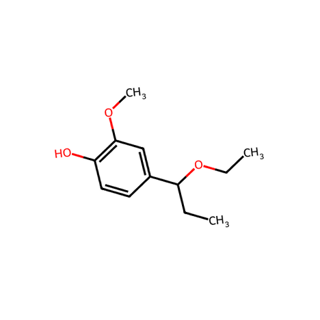 CCOC(CC)c1ccc(O)c(OC)c1